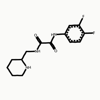 O=C(NCC1CCCCN1)C(=O)Nc1ccc(F)c(F)c1